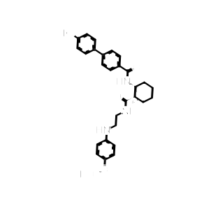 COc1ccc(NCCNC(=O)[C@@H]2CCCC[C@@H]2NC(=O)c2ccc(-c3ccc(O)cc3)cc2)cc1